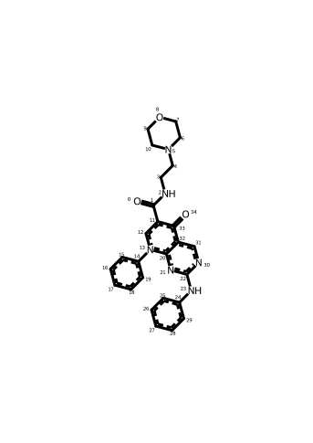 O=C(NCCN1CCOCC1)c1cn(-c2ccccc2)c2nc(Nc3ccccc3)ncc2c1=O